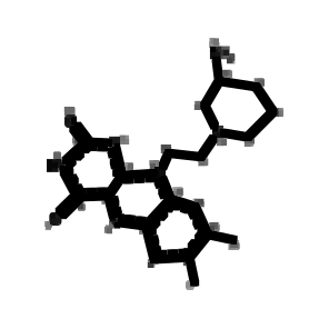 Cc1cc2nc3c(=O)[nH]c(=O)nc-3n(CCN3CCCC(N)C3)c2cc1C